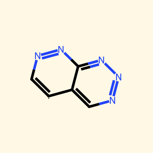 [c]1cnnc2nnncc12